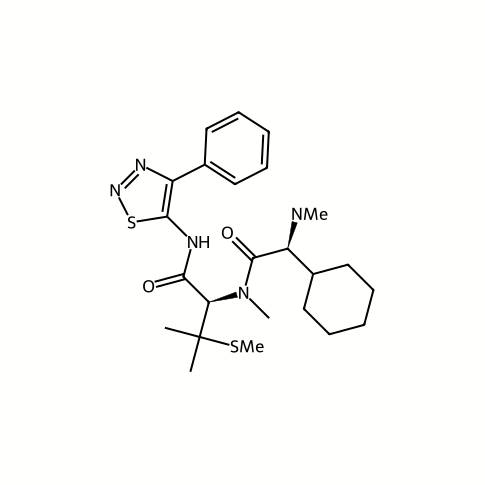 CN[C@H](C(=O)N(C)[C@H](C(=O)Nc1snnc1-c1ccccc1)C(C)(C)SC)C1CCCCC1